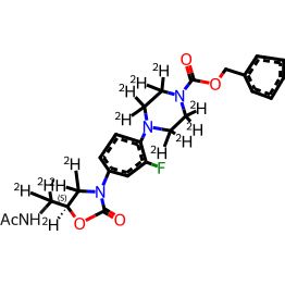 [2H]C1([2H])N(C(=O)OCc2ccccc2)C([2H])([2H])C([2H])([2H])N(c2ccc(N3C(=O)O[C@@]([2H])(C([2H])([2H])NC(C)=O)C3([2H])[2H])cc2F)C1([2H])[2H]